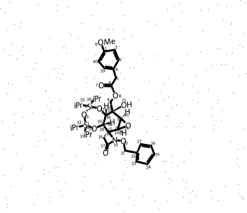 COc1ccc(CC(=O)OC[C@]2(O)[C@H]3O[C@H]3[C@]3(CC(=O)N3OCc3ccccc3)[C@@H]3O[Si](C(C)C)(C(C)C)O[Si](C(C)C)(C(C)C)O[C@@H]32)cc1